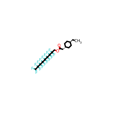 CC[C@H]1CC[C@H](CC(=O)OCC(F)(F)C(F)(F)C(F)(F)C(F)(F)C(F)(F)C(F)(F)C(F)(F)C(F)F)CC1